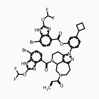 C=CC(=O)N1CCc2nn(-c3ccc(C4CCC4)cc3OC(=O)c3ccc(Br)c4[nH]c(OC(F)F)nc34)c3c2C(C1)N(C(=O)c1ccc(Br)c2[nH]c(OC(F)F)nc12)CC3